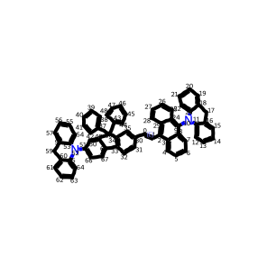 C(=C\c1c2ccccc2c(N2c3ccccc3Cc3ccccc32)c2ccccc12)/c1ccc2c(c1)C(c1ccccc1)(c1ccccc1)c1cc(N3c4ccccc4Cc4ccccc43)ccc1-2